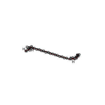 CC(C)C[C@H](NC(=O)[C@@H](O)[C@H](N)Cc1ccccc1)C(=O)NCCOCCOCCOCCOCCOCCOCCOCCOCCOCCOCCOCCOCCOCCOCCOCCCc1ccc(C(=O)Nc2ccc3oc(-c4ccc(=O)n(C)n4)nc3c2)nc1